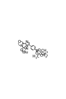 CC(C)(C)OC(=O)N1CCOC[C@H]1c1ncc(-c2ccc(B3OC(C)(C)C(C)(C)O3)cc2)[nH]1